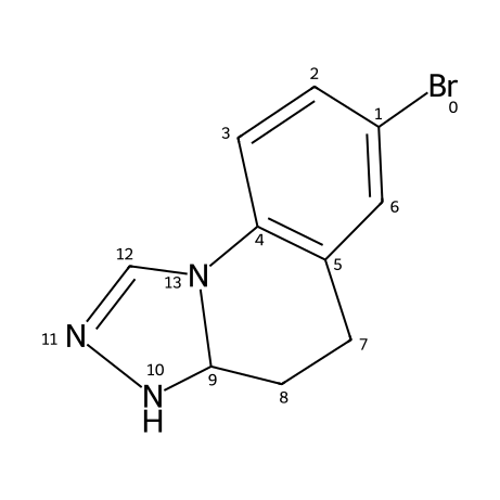 Brc1ccc2c(c1)CCC1NN=CN21